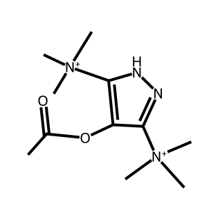 CC(=O)Oc1c([N+](C)(C)C)n[nH]c1[N+](C)(C)C